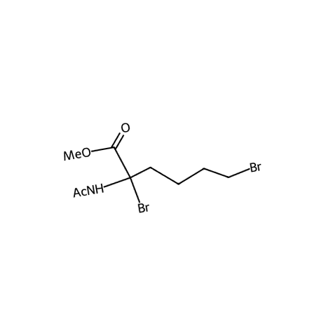 COC(=O)C(Br)(CCCCBr)NC(C)=O